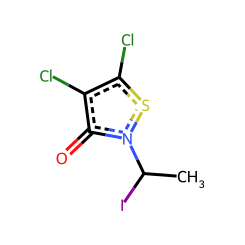 CC(I)n1sc(Cl)c(Cl)c1=O